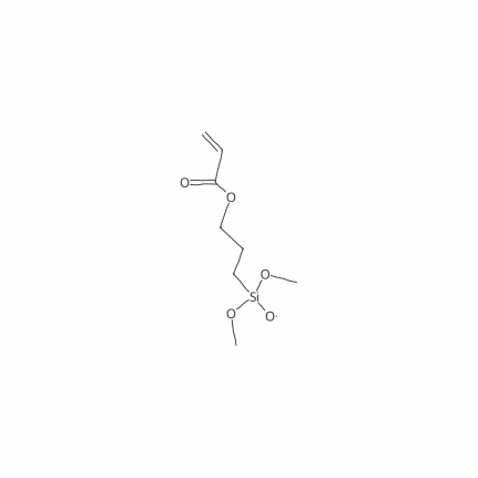 C=CC(=O)OCCC[Si]([O])(OC)OC